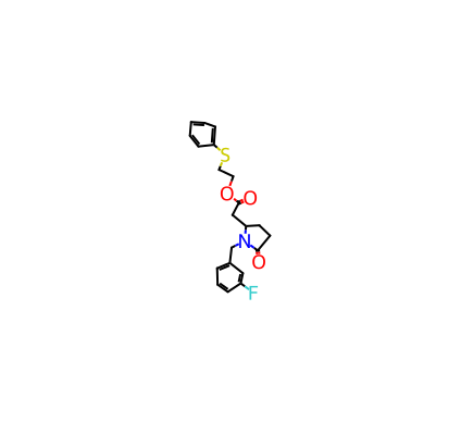 O=C(CC1CCC(=O)N1Cc1cccc(F)c1)OCCSc1ccccc1